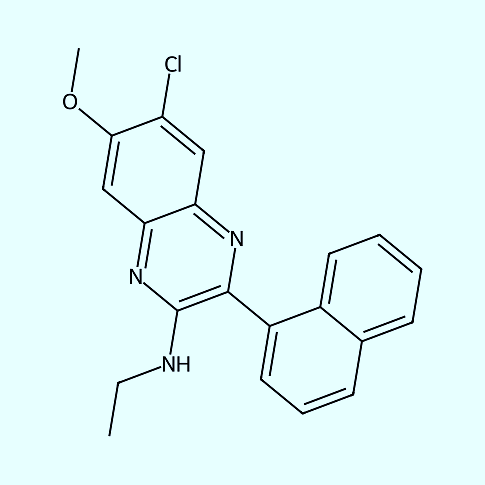 CCNc1nc2cc(OC)c(Cl)cc2nc1-c1cccc2ccccc12